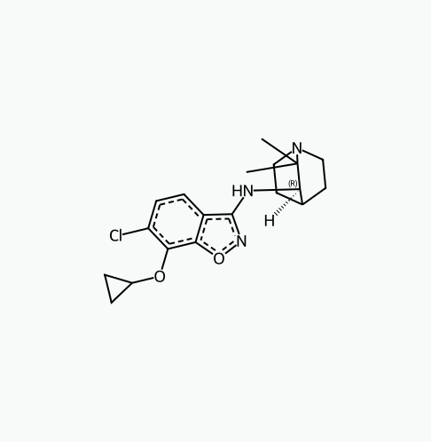 CC1(C)[C@H](Nc2noc3c(OC4CC4)c(Cl)ccc23)C2CCN1CC2